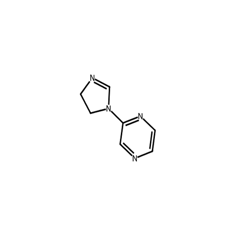 C1=NCCN1c1cnccn1